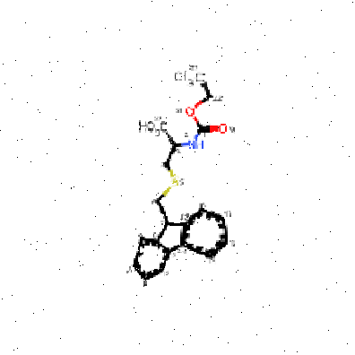 O=C(NC(CSCC1c2ccccc2-c2ccccc21)C(=O)O)OCC(Cl)(Cl)Cl